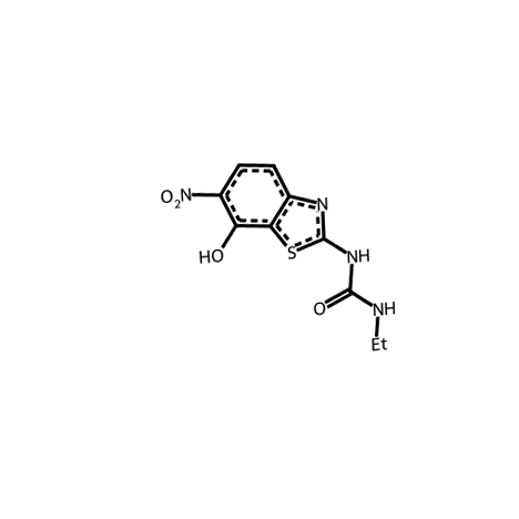 CCNC(=O)Nc1nc2ccc([N+](=O)[O-])c(O)c2s1